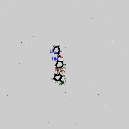 O=C(N[C@H]1CC[C@](F)(S(=O)(=O)c2cccc(C(F)(F)F)c2)CC1)[C@@H]1CCCCN1